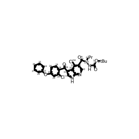 CC(C)N(NC(=O)OC(C)(C)C)C(=O)c1cnc2[nH]cc(C(=O)c3ccc(Oc4ccccc4)cc3Cl)c2c1Cl